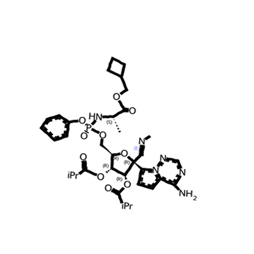 C/N=C/[C@@]1(c2ccc3c(N)ncnn23)O[C@H](COP(=O)(N[C@@H](C)C(=O)OCC2CCC2)Oc2ccccc2)[C@@H](OC(=O)C(C)C)[C@H]1OC(=O)C(C)C